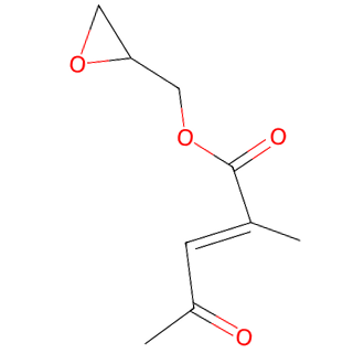 CC(=O)C=C(C)C(=O)OCC1CO1